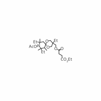 CCOC(=O)CCC(=O)OCC1(CC)COC2(CC(C)(CC)N(OC(C)=O)C(C)(CC)C2C)OC1